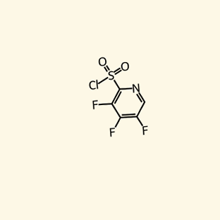 O=S(=O)(Cl)c1ncc(F)c(F)c1F